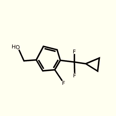 OCc1ccc(C(F)(F)C2CC2)c(F)c1